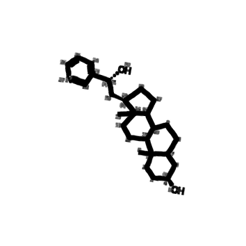 CC12CC[C@H](O)CC1CCC1C2CCC2(C)C1CC[C@@H]2C[C@@H](O)c1cccnc1